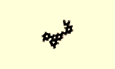 Cc1ccc(N(F)c2cccc(C)n2)c(N2CCC(CCc3cccc(C(C)CF)c3)CC2)c1